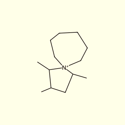 CC1CC(C)[N+]2(CCCCCC2)C1C